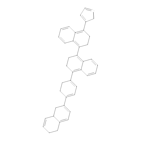 C1=CC2CC(C3=CC=C(C4=c5ccccc5=C(C5=c6ccccc6=C(C6=CC=NC6)CC5)CC4)CC3)=CC=C2CC1